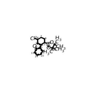 CC1(C)OB(C2CCC(Cl)c3oc4ccccc4c32)OC1(C)C